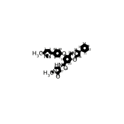 Cc1ccc(-c2ccc(Oc3cc(C(=O)N[C@H]4CC(=O)N(C)C4)ccc3CN3C[C@H](c4ccccc4)CC3=O)cc2)nn1